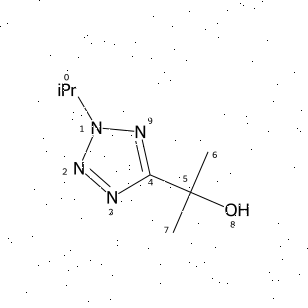 CC(C)n1nnc(C(C)(C)O)n1